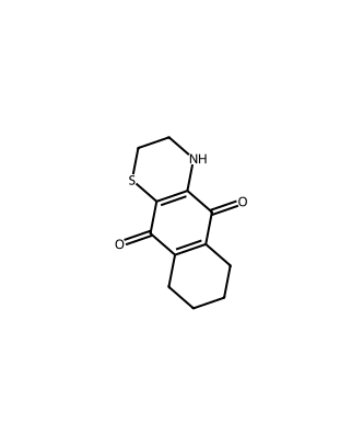 O=C1C2=C(CCCC2)C(=O)C2=C1NCCS2